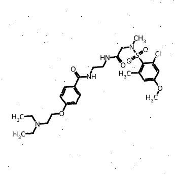 CCN(CC)CCOc1ccc(C(=O)NCCNC(=O)CN(C)S(=O)(=O)c2c(C)cc(OC)cc2Cl)cc1